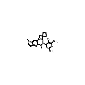 C[C@H](Nc1nc(N)nc(N)c1C#N)c1nc2ccn(C)c2cc1N1CC2(COC2)C1